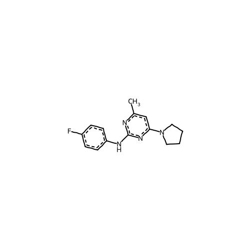 Cc1cc(N2CCCC2)nc(Nc2ccc(F)cc2)n1